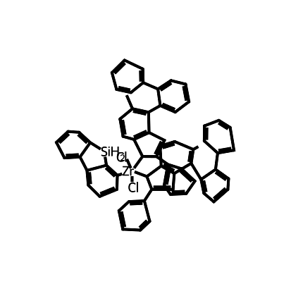 Cc1ccc2c(c1-c1ccccc1-c1ccccc1)C=C(c1ccccc1)[CH]2[Zr]([Cl])([Cl])([c]1cccc2c1[SiH2]c1ccccc1-2)[CH]1C(c2ccccc2)=Cc2c1ccc(C)c2-c1ccccc1-c1ccccc1